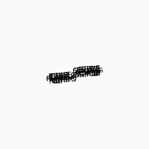 O=C(OOC(=O)C(F)(F)C(F)(F)C(F)(F)C(F)(F)C(F)(F)C(F)(Cl)C(Cl)(Cl)C(Cl)(Cl)C(F)(F)F)C(F)(F)C(F)(F)C(F)(F)C(F)(F)C(F)(F)C(F)(Cl)C(Cl)(Cl)C(Cl)(Cl)C(F)(F)F